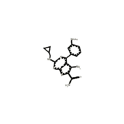 CC(=O)Nc1cccc(-c2nc(NC3CC3)nc3sc(C(N)=O)c(N)c23)c1